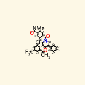 CNC(=O)[C@H]1CC[C@H](C(=O)N2CC[C@H](O[C@H](C)c3cc(C(F)(F)F)cc(C(F)(F)F)c3)[C@H](c3ccccc3)C2)CC1